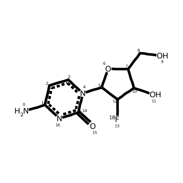 Nc1ccn(C2OC(CO)C(O)C2[18F])c(=O)n1